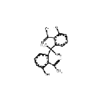 CC(=O)c1c(O)cccc1C(C)(C)c1cccc(O)c1C(C)=O